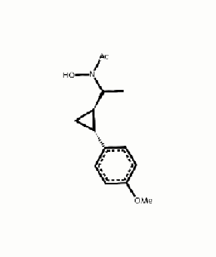 COc1ccc([C@@H]2C[C@H]2C(C)N(O)C(C)=O)cc1